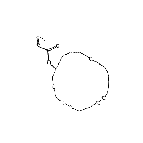 C=CC(=O)OC1CCCCCCCCCCCCCCCCC1